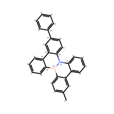 Cc1ccc2c(c1)-c1ccccc1N1B2c2ccccc2-c2cc(-c3ccccc3)ccc21